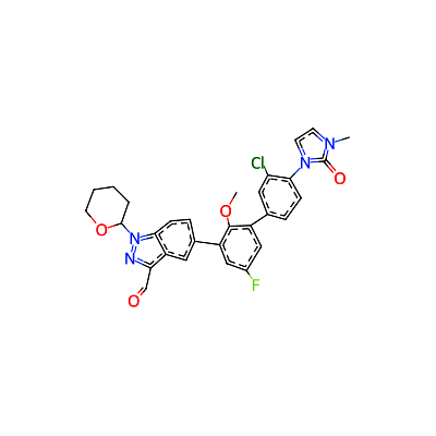 COc1c(-c2ccc(-n3ccn(C)c3=O)c(Cl)c2)cc(F)cc1-c1ccc2c(c1)c(C=O)nn2C1CCCCO1